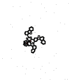 c1ccc(-c2nc(-c3cc4oc5ccc6ccccc6c5c4cc3-n3c4cc5ccccc5cc4c4c5ccccc5ccc43)nc(-c3cccc4c3oc3ccccc34)n2)cc1